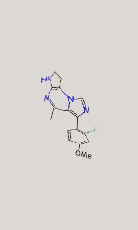 COc1ccc(-c2ncn3c2c(C)nc2[nH]ccc23)c(F)c1